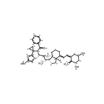 C=C1/C(=C\C=C2/CCC[C@]3(C)[C@@H]([C@H](C)CC[C@H](C(=O)c4ccncc4)C4(c5ncc(CCCC)o5)CC4)CC[C@@H]23)C[C@@H](O)C[C@@H]1O